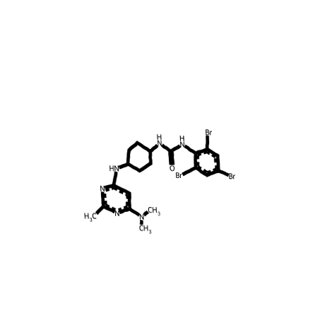 Cc1nc(NC2CCC(NC(=O)Nc3c(Br)cc(Br)cc3Br)CC2)cc(N(C)C)n1